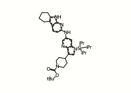 CC(C)[Si](C(C)C)(C(C)C)n1cc(C2CCN(C(=O)OC(C)(C)C)CC2)c2ncc(Nc3ccc4c5c([nH]c4n3)CCCC5)cc21